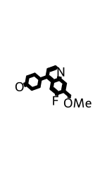 COCc1cc2nccc(C3CCC(=O)CC3)c2cc1F